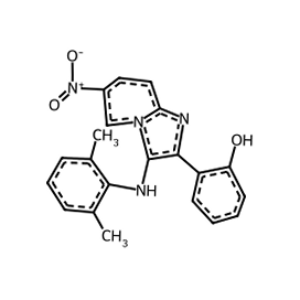 Cc1cccc(C)c1Nc1c(-c2ccccc2O)nc2ccc([N+](=O)[O-])cn12